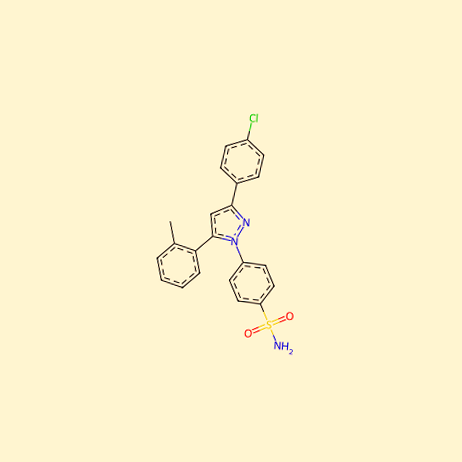 Cc1ccccc1-c1cc(-c2ccc(Cl)cc2)nn1-c1ccc(S(N)(=O)=O)cc1